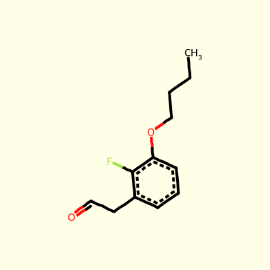 CCCCOc1cccc(CC=O)c1F